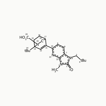 Cn1c(=O)n(CC(C)(C)C)c2ccc(C3=CC4(C(C)(C)C)CCC3CN4C(=O)O)nc21